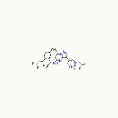 CC/C(=C\NCC(F)F)c1cnn2ccc(NC(C)c3cc(C)ccc3CCC(F)F)nc12